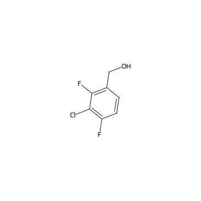 OCc1ccc(F)c(Cl)c1F